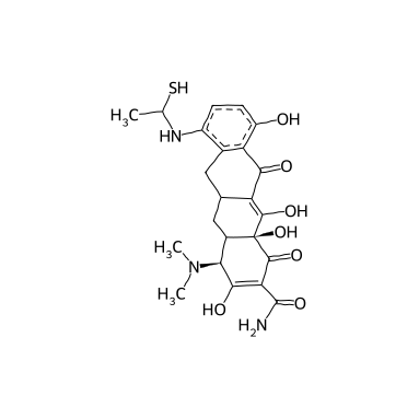 CC(S)Nc1ccc(O)c2c1CC1CC3[C@H](N(C)C)C(O)=C(C(N)=O)C(=O)[C@@]3(O)C(O)=C1C2=O